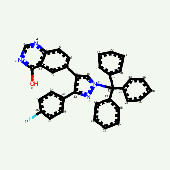 Oc1ncnc2ccc(-c3cn(C(c4ccccc4)(c4ccccc4)c4ccccc4)nc3-c3ccc(F)cc3)cc12